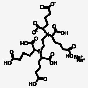 O=C([O-])CCCC(C(=O)[O-])N(CCN(C(CCCC(=O)O)C(=O)O)C(CCCC(=O)O)C(=O)O)C(CCCC(=O)O)C(=O)O.[Na+].[Na+]